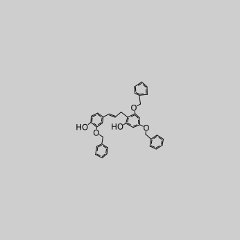 Oc1ccc(C=CCc2c(O)cc(OCc3ccccc3)cc2OCc2ccccc2)cc1OCc1ccccc1